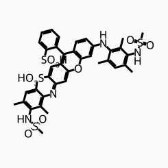 Cc1cc(C)c(NS(C)(=O)=O)c(C)c1/N=c1/cc2oc3cc(Nc4c(C)cc(C)c(NS(C)(=O)=O)c4C)ccc3c(-c3ccccc3S(=O)(=O)O)c-2cc1S(=O)(=O)O